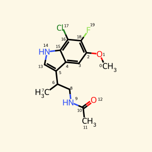 COc1cc2c(C(C)CNC(C)=O)c[nH]c2c(Cl)c1F